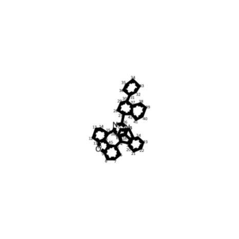 C1=CCCC(c2cccc3oc4cccc(-c5nc(-c6ccccc6)nc(-c6ccc(-c7ccccc7)c7ccccc67)n5)c4c23)=C1